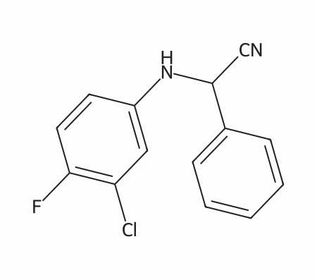 N#CC(Nc1ccc(F)c(Cl)c1)c1ccccc1